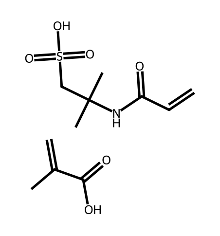 C=C(C)C(=O)O.C=CC(=O)NC(C)(C)CS(=O)(=O)O